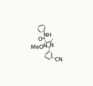 COn1c(-c2cccc(C#N)c2)nc(C)c1C(=O)Nc1ccccc1